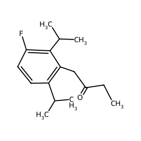 CCC(=O)Cc1c(C(C)C)ccc(F)c1C(C)C